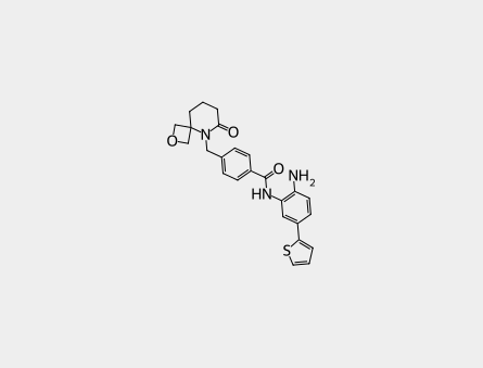 Nc1ccc(-c2cccs2)cc1NC(=O)c1ccc(CN2C(=O)CCCC23COC3)cc1